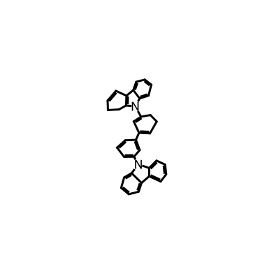 C1=Cc2c(n(C3=CC(c4cccc(-n5c6ccccc6c6ccccc65)c4)=CCC3)c3ccccc23)CC1